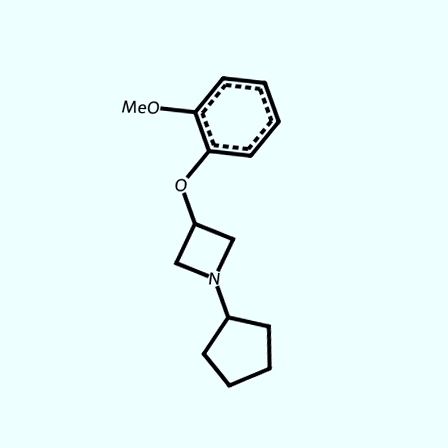 COc1ccccc1OC1CN(C2CCCC2)C1